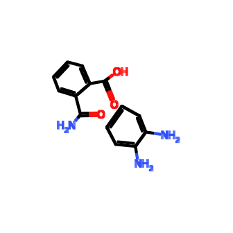 NC(=O)c1ccccc1C(=O)O.Nc1ccccc1N